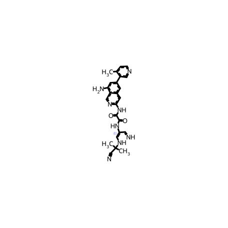 Cc1ccncc1-c1cc(N)c2cnc(NC(=O)C(=O)N/C(C=N)=C/NC(C)(C)C#N)cc2c1